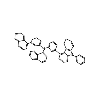 C1=Cc2c(c3c(-c4cccc(N(C5=CCCC(c6cccc7ccccc67)=C5)c5cccc6ccccc56)c4)cccc3n2-c2ccccc2)CC1